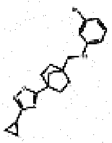 Brc1cccc(NCC23CCC(c4nc(C5CC5)no4)(CC2)C3)c1